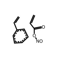 C=CC(=O)ON=O.C=Cc1ccccc1